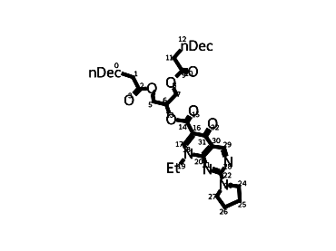 CCCCCCCCCCCC(=O)OCC(COC(=O)CCCCCCCCCCC)OC(=O)c1cn(CC)c2nc(N3CCCC3)ncc2c1=O